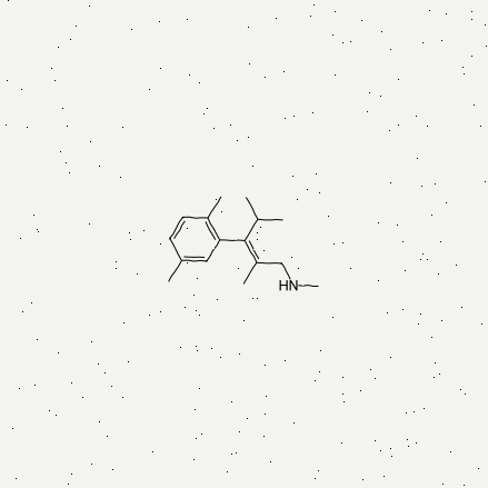 CNC/C(C)=C(/c1cc(C)ccc1C)C(C)C